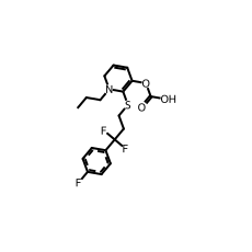 CCCN1CC=CC(OC(=O)O)=C1SCCC(F)(F)c1ccc(F)cc1